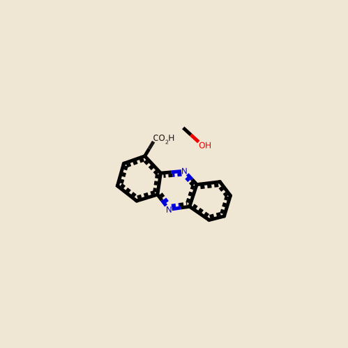 CO.O=C(O)c1cccc2nc3ccccc3nc12